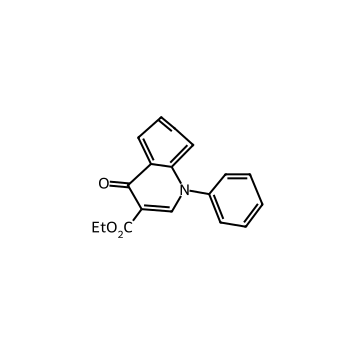 CCOC(=O)c1cn(-c2ccccc2)c2ccccc2c1=O